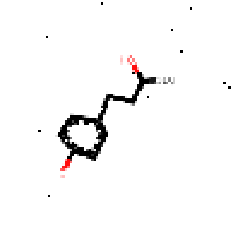 O=S(=O)(O)C(O)[CH]Cc1ccc(O)cc1